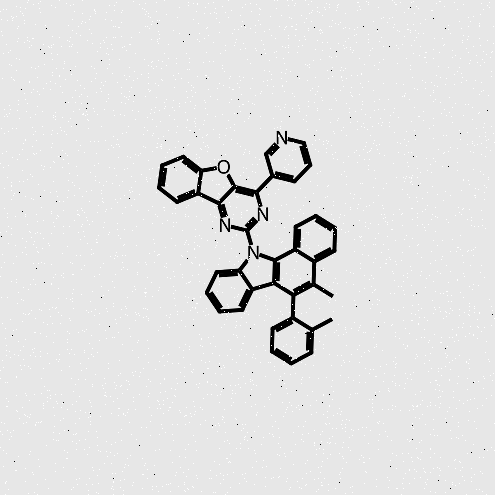 Cc1ccccc1-c1c(C)c2ccccc2c2c1c1ccccc1n2-c1nc(-c2cccnc2)c2oc3ccccc3c2n1